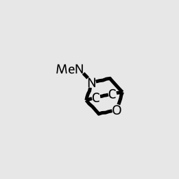 CNN1CC2CCC1CO2